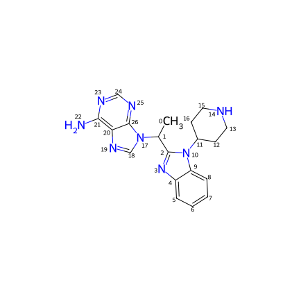 CC(c1nc2ccccc2n1C1CCNCC1)n1cnc2c(N)ncnc21